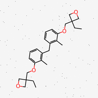 CCC1(COc2cccc(Cc3cccc(OCC4(CC)COC4)c3C)c2C)COC1